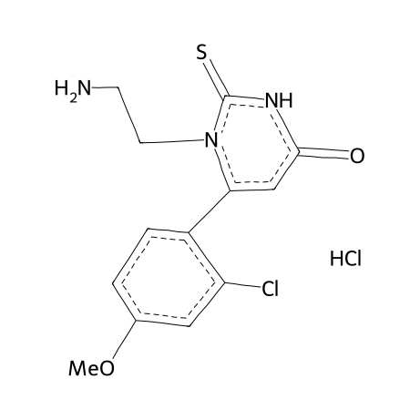 COc1ccc(-c2cc(=O)[nH]c(=S)n2CCN)c(Cl)c1.Cl